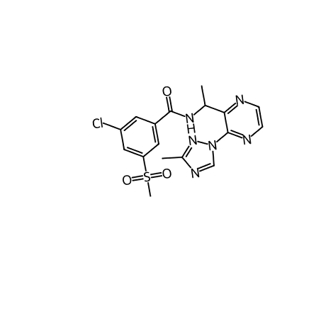 Cc1ncn(-c2nccnc2C(C)NC(=O)c2cc(Cl)cc(S(C)(=O)=O)c2)n1